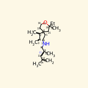 C=CC(=C)[C@]1(CCNC/C(C)=C/C(=C)C)CCOC(C)(CC)C1